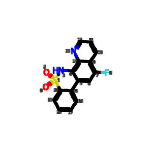 O=S1(=O)Nc2c(cc(F)c3cccnc23)-c2ccccc21